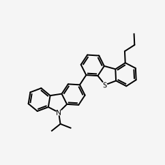 CCCc1cccc2sc3c(-c4ccc5c(c4)c4ccccc4n5C(C)C)cccc3c12